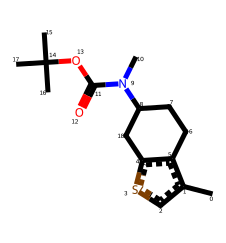 Cc1csc2c1CCC(N(C)C(=O)OC(C)(C)C)C2